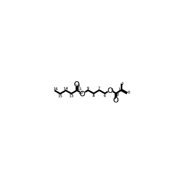 C=C(C)C(=O)OCCCCOC(=O)CCCC